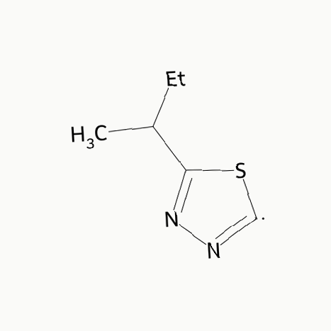 CCC(C)c1nn[c]s1